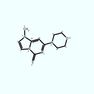 Cn1ccn2c(=S)nc(N3CCOCC3)cc12